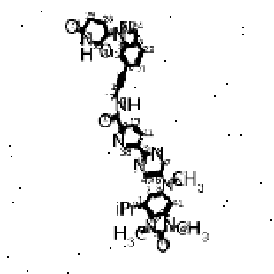 CC(C)c1cc(N(C)c2cnc(-c3ccc(C(=O)NCC#Cc4ccc5cnn(C6CCC(=O)NC6=O)c5c4)nc3)nc2)cc2c1n(C)c(=O)n2C